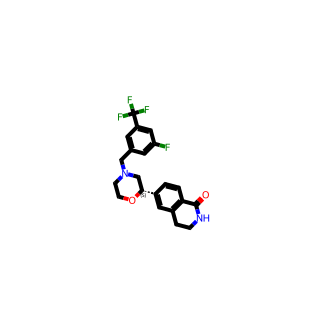 O=C1NCCc2cc([C@H]3CN(Cc4cc(F)cc(C(F)(F)F)c4)CCO3)ccc21